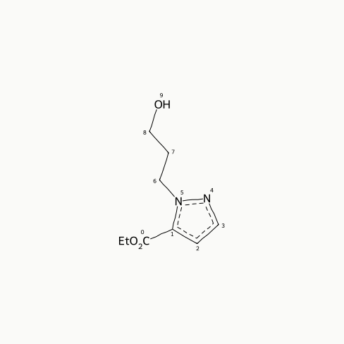 CCOC(=O)c1ccnn1CCCO